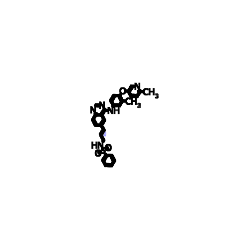 Cc1ccc(Oc2ccc(Nc3ncnc4ccc(/C=C/CNS(=O)(=O)c5ccccc5)cc34)cc2C)cn1